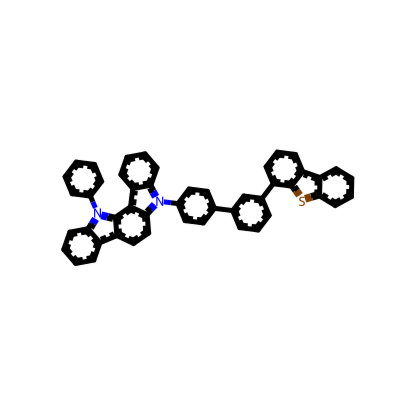 c1ccc(-n2c3ccccc3c3ccc4c(c5ccccc5n4-c4ccc(-c5cccc(-c6cccc7c6sc6ccccc67)c5)cc4)c32)cc1